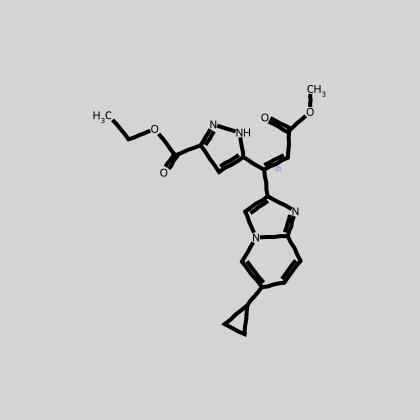 CCOC(=O)c1cc(/C(=C\C(=O)OC)c2cn3cc(C4CC4)ccc3n2)[nH]n1